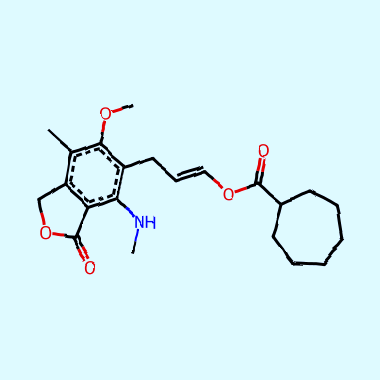 CNc1c(CC=COC(=O)C2CCCCCC2)c(OC)c(C)c2c1C(=O)OC2